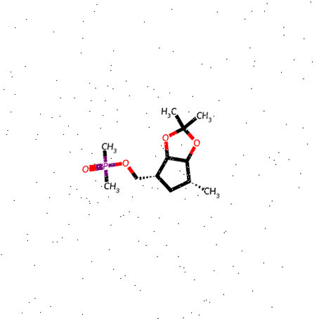 C[C@@H]1C[C@H](COP(C)(C)=O)C2OC(C)(C)OC21